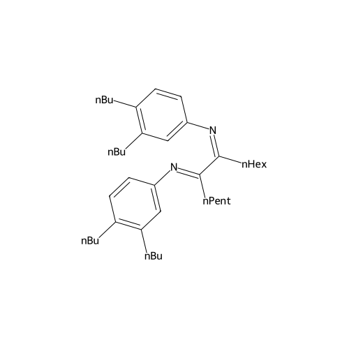 CCCCCCC(=Nc1ccc(CCCC)c(CCCC)c1)C(CCCCC)=Nc1ccc(CCCC)c(CCCC)c1